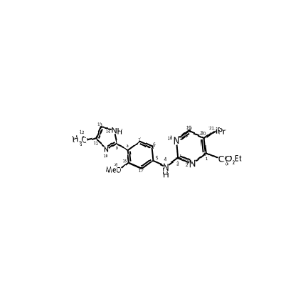 CCOC(=O)c1nc(Nc2ccc(-c3nc(C)c[nH]3)c(OC)c2)ncc1C(C)C